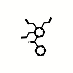 C=CCc1ccc(C(=O)c2ccccc2)c(CC=C)c1CC=C